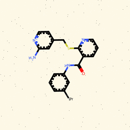 CC(C)c1cccc(NC(=O)c2cccnc2SCc2ccnc(N)c2)c1